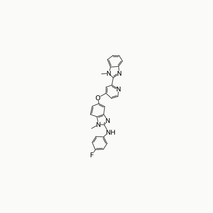 Cn1c(Nc2ccc(F)cc2)nc2cc(Oc3ccnc(-c4nc5ccccc5n4C)c3)ccc21